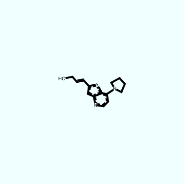 OC/C=C/c1cc2nccc(N3CCCC3)c2s1